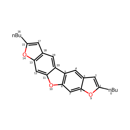 CCCCc1cc2cc3c(cc2o1)oc1cc2oc(CCCC)cc2cc13